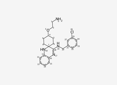 NCCOC1CCC2(CC1)Nc1ccccc1N=C2NCc1cccc(Cl)c1